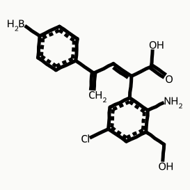 Bc1ccc(C(=C)/C=C(/C(=O)O)c2cc(Cl)cc(CO)c2N)cc1